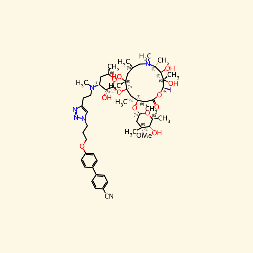 CO[C@]1(C)C[C@H](O[C@H]2[C@H](C)[C@@H](O[C@@H]3O[C@H](C)C[C@H](N(C)CCc4cn(CCCOc5ccc(-c6ccc(C#N)cc6)cc5)nn4)[C@H]3O)[C@](C)(O)C[C@@H](C)CN(C)[C@H](C)[C@@H](O)[C@](C)(O)[C@@H](I)OC(=O)[C@@H]2C)O[C@@H](C)[C@@H]1O